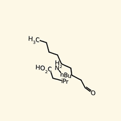 CC(C)CC(=O)O.CCCCCCCCC=O.CCCCN